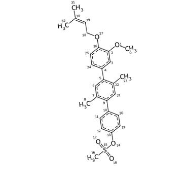 COc1cc(-c2cc(C)c(-c3ccc(OS(C)(=O)=O)cc3)cc2C)ccc1OCC=C(C)C